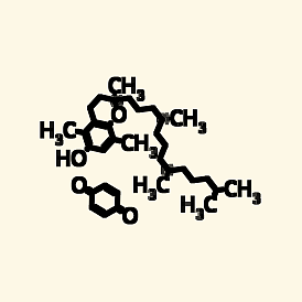 Cc1cc(O)c(C)c2c1O[C@](C)(CCC[C@H](C)CCC[C@H](C)CCCC(C)C)CC2.O=C1C=CC(=O)C=C1